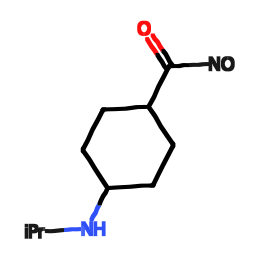 CC(C)NC1CCC(C(=O)N=O)CC1